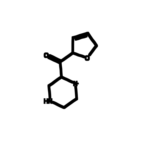 O=C(C1CNCC[N]1)C1C=CCO1